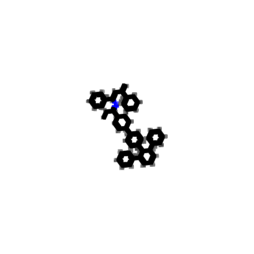 C=C(/C=C(\N=C(/CC)C1C=CC(c2ccc(C3C(c4ccccc4)=CC=CC3c3ccccc3)cc2)CC1)c1ccccc1)C1=CC=CCC1